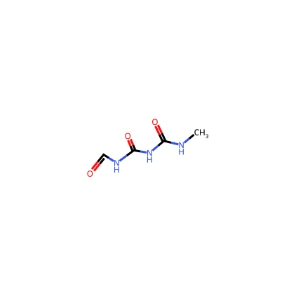 CNC(=O)NC(=O)NC=O